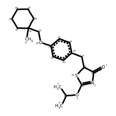 CC(C)OC1=NC(=O)C(Cc2ccc(OCC3(C)CCCCC3)cc2)S1